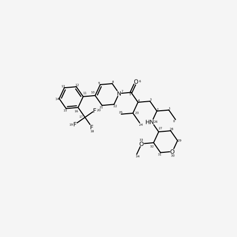 CCC(CC(C(=O)N1CC=C(c2ccccc2C(F)(F)F)CC1)C(C)C)NC1CCOCC1OC